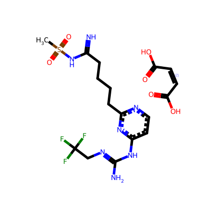 CS(=O)(=O)NC(=N)CCCCc1nccc(NC(N)=NCC(F)(F)F)n1.O=C(O)/C=C\C(=O)O